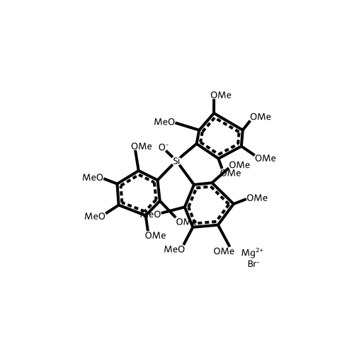 COc1c(OC)c(OC)c([Si]([O-])(c2c(OC)c(OC)c(OC)c(OC)c2OC)c2c(OC)c(OC)c(OC)c(OC)c2OC)c(OC)c1OC.[Br-].[Mg+2]